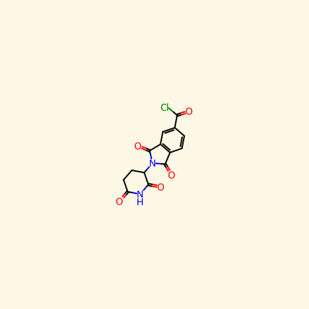 O=C1CCC(N2C(=O)c3ccc(C(=O)Cl)cc3C2=O)C(=O)N1